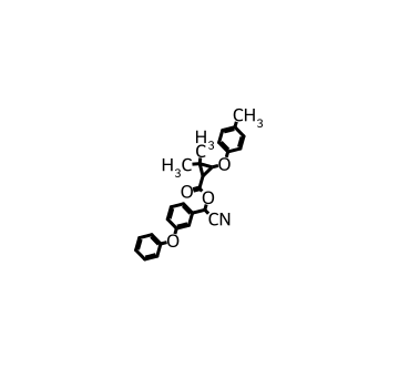 Cc1ccc(OC2C(C(=O)OC(C#N)c3cccc(Oc4ccccc4)c3)C2(C)C)cc1